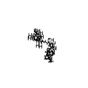 CC(CCCCNC(=O)NC(CO)C(O)C(O)C(O)CO)c1ccc(Cl)c(COC2(c3cnccc3-c3ccccc3OC3CC3)CC2)c1